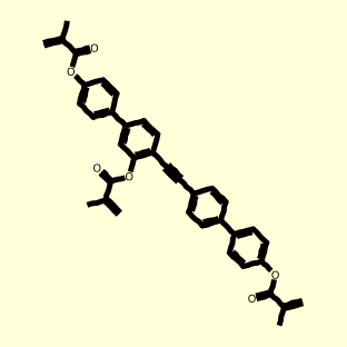 C=C(C)C(=O)Oc1ccc(-c2ccc(C#Cc3ccc(-c4ccc(OC(=O)C(=C)C)cc4)cc3OC(=O)C(=C)C)cc2)cc1